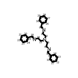 C(=NCCN(CCN=Cc1ccccc1)CCN=Cc1ccccc1)c1ccccc1